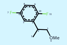 COC[C](C)c1cc(F)ccc1F